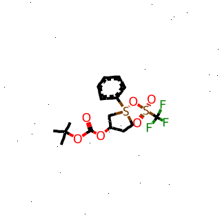 CC(C)(C)OC(=O)OC1CCS(OS(=O)(=O)C(F)(F)F)(c2ccccc2)C1